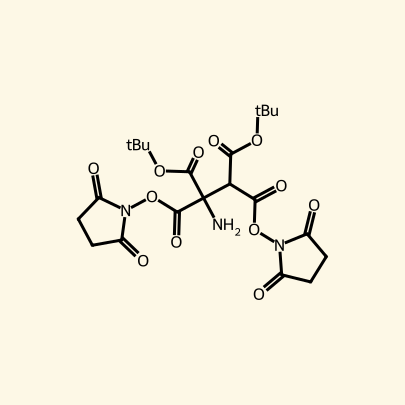 CC(C)(C)OC(=O)C(C(=O)ON1C(=O)CCC1=O)C(N)(C(=O)ON1C(=O)CCC1=O)C(=O)OC(C)(C)C